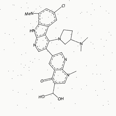 CNc1cc(Cl)cc2c1[nH]c1ncc(-c3cnc4c(c3)c(=O)c(C(O)O)cn4C)c(N3CCC(N(C)C)C3)c12